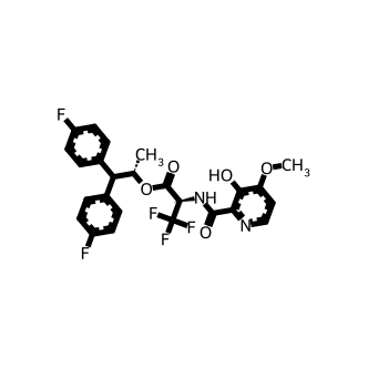 COc1ccnc(C(=O)N[C@H](C(=O)O[C@@H](C)C(c2ccc(F)cc2)c2ccc(F)cc2)C(F)(F)F)c1O